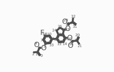 C=C(C)C(=O)Oc1cc(F)cc(-c2ccc(OC(=O)C(=C)C)c3c2CCC3OC(=O)C(=C)C)c1